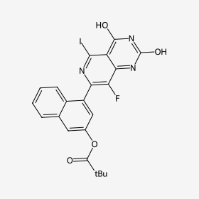 CC(C)(C)C(=O)Oc1cc(-c2nc(I)c3c(O)nc(O)nc3c2F)c2ccccc2c1